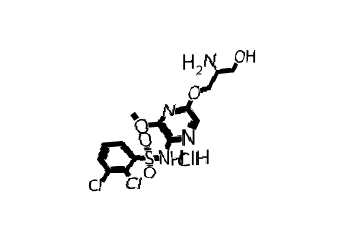 COc1nc(OC[C@H](N)CO)cnc1NS(=O)(=O)c1cccc(Cl)c1Cl.Cl